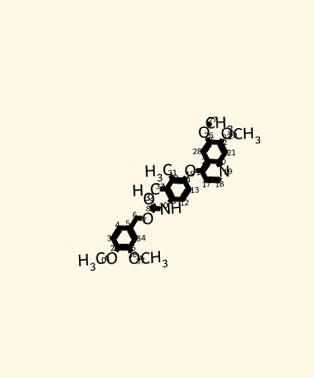 COc1ccc(COC(=O)Nc2ccc(Oc3ccnc4cc(OC)c(OC)cc34)c(C)c2C)cc1OC